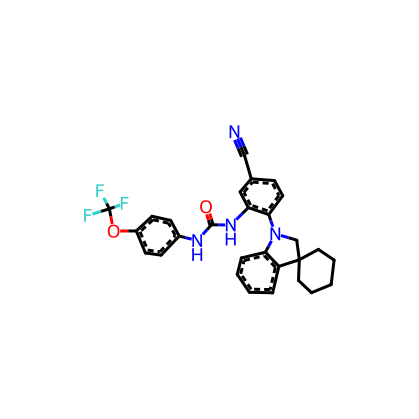 N#Cc1ccc(N2CC3(CCCCC3)c3ccccc32)c(NC(=O)Nc2ccc(OC(F)(F)F)cc2)c1